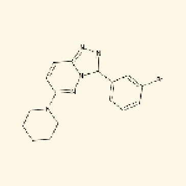 Brc1cccc(-c2nnc3ccc(N4CCCCC4)nn23)c1